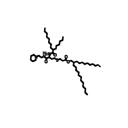 CCCCCCCCCCCCC(CCCCCCCCCC)COC(=O)CCSCCC(NC(=O)C(CCCCCC)CCCCCCCC)C(=O)NCCN1CCCCC1